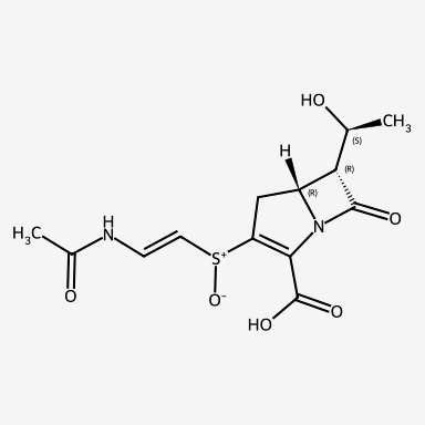 CC(=O)NC=C[S+]([O-])C1=C(C(=O)O)N2C(=O)[C@@H]([C@H](C)O)[C@H]2C1